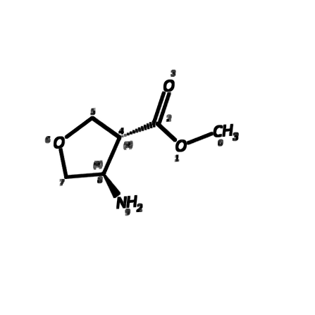 COC(=O)[C@H]1COC[C@@H]1N